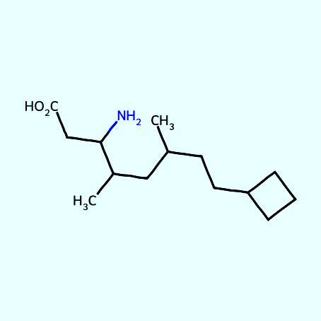 CC(CCC1CCC1)CC(C)C(N)CC(=O)O